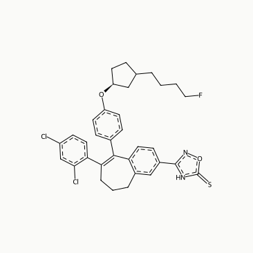 FCCCCC1CC[C@H](Oc2ccc(C3=C(c4ccc(Cl)cc4Cl)CCCc4cc(-c5noc(=S)[nH]5)ccc43)cc2)C1